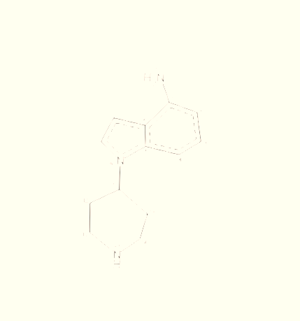 Nc1cccc2c1ccn2C1CCNCC1